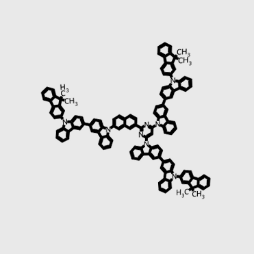 CC1(C)c2ccccc2-c2ccc(-n3c4ccccc4c4cc(-c5ccc6c(c5)c5ccccc5n6-c5ccc6ccc(-c7nc(-n8c9ccccc9c9cc(-c%10ccc%11c(c%10)c%10ccccc%10n%11-c%10ccc%11c(c%10)C(C)(C)c%10ccccc%10-%11)ccc98)cc(-n8c9ccccc9c9cc(-c%10ccc%11c(c%10)c%10ccccc%10n%11-c%10ccc%11c(c%10)C(C)(C)c%10ccccc%10-%11)ccc98)n7)cc6c5)ccc43)cc21